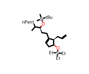 C=CC[C@@H]1C(CC[C@H](O[Si](C)(C)C(C)(C)C)C(C)CCCCC)=CC[C@@H]1O[Si](CC)(CC)CC